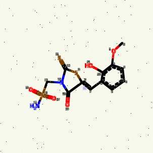 COc1cccc(/C=C2\SC(=S)N(CS(N)(=O)=O)C2=O)c1O